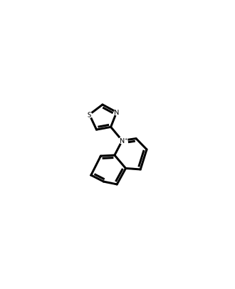 c1ccc2c(c1)ccc[n+]2-c1cscn1